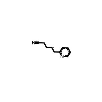 N#CCC[CH]Cc1ccccn1